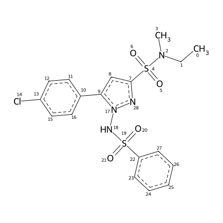 CCN(C)S(=O)(=O)c1cc(-c2ccc(Cl)cc2)n(NS(=O)(=O)c2ccccc2)n1